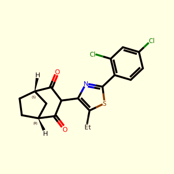 CCc1sc(-c2ccc(Cl)cc2Cl)nc1C1C(=O)[C@@H]2CC[C@@H](C2)C1=O